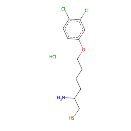 Cl.NC(CS)CCCCOc1ccc(Cl)c(Cl)c1